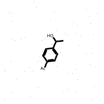 CC(=O)c1ccc(C(C)O)cc1